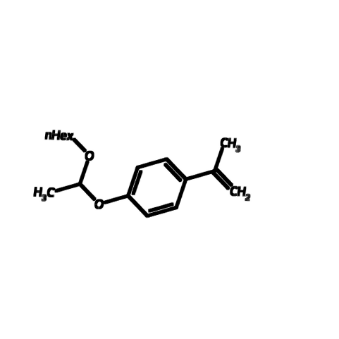 C=C(C)c1ccc(OC(C)OCCCCCC)cc1